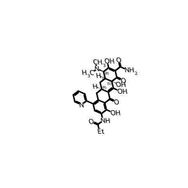 CCC(=O)Nc1cc(-c2ccccn2)c2c(c1O)C(=O)C1=C(O)[C@]3(O)C(=O)C(C(N)=O)=C(O)[C@H](N(C)C)[C@@H]3C[C@@H]1C2